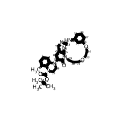 Cc1cccc2c1N(C(=O)OC(C)(C)C)CCN2c1cc2cnc3nc2n(c1=O)CCCOCCOc1cccc(c1)N3